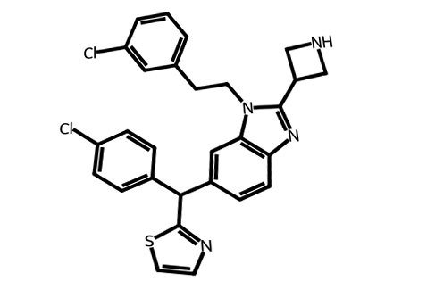 Clc1ccc(C(c2ccc3nc(C4CNC4)n(CCc4cccc(Cl)c4)c3c2)c2nccs2)cc1